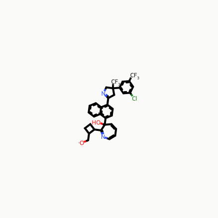 [O]CC1CCC1C1=NC=CC=CC1(O)c1ccc(C2=NCC(c3cc(Cl)cc(C(F)(F)F)c3)(C(F)(F)F)C2)c2ccccc12